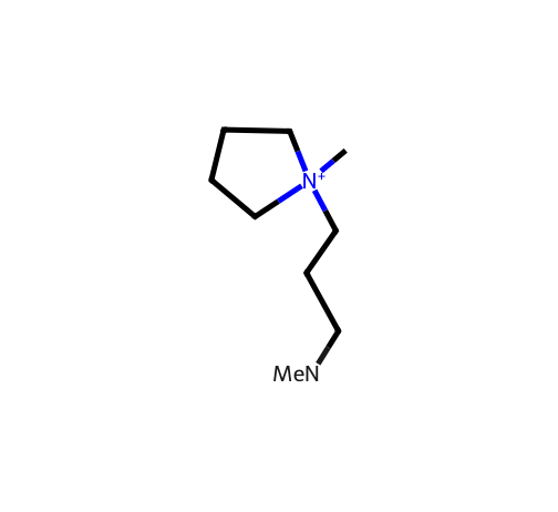 CNCCC[N+]1(C)CCCC1